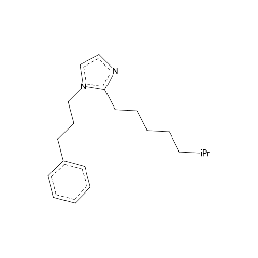 CC(C)CCCCCc1nccn1CCCc1ccccc1